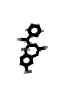 CC(C)(C)c1ccc2c(c1)CC(=O)C=C(C(=O)c1ccccc1)N2